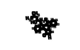 CN(C)CC(O)Cn1c2ccccc2c2c3c(c4c5ccccc5n(C)c4c21)CNC3=O